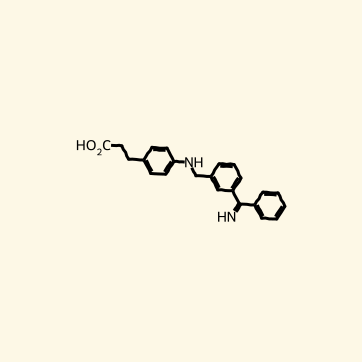 N=C(c1ccccc1)c1cccc(CNc2ccc(CCC(=O)O)cc2)c1